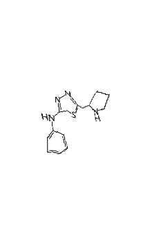 c1ccc(Nc2nnc(C3CCCN3)s2)cc1